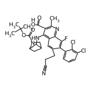 Cc1nc2c(F)c(-c3cccc(Cl)c3Cl)c(CCC#N)cc2c(NC2C3CC2N(C(=O)OC(C)(C)C)C3)c1C(=O)O